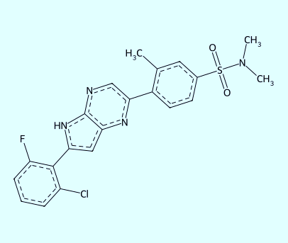 Cc1cc(S(=O)(=O)N(C)C)ccc1-c1cnc2[nH]c(-c3c(F)cccc3Cl)cc2n1